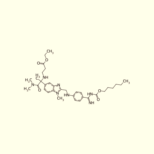 CCCCCCOC(=O)NC(=N)c1ccc(NCc2nc3cc(C(C)(NCCC(=O)OCC)C(=O)N(C)C)ccc3n2C)cc1